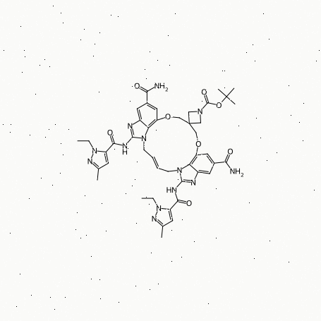 CCn1nc(C)cc1C(=O)Nc1nc2cc(C(N)=O)cc3c2n1C/C=C/Cn1c(NC(=O)c2cc(C)nn2CC)nc2cc(C(N)=O)cc(c21)OCC1(CO3)CN(C(=O)OC(C)(C)C)C1